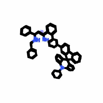 N/C(=C\C(NCc1ccccc1)c1ccccc1)c1ccccc1-c1cccc(-c2ccc3c(c2)C2(c4ccccc4-3)c3ccccc3N(c3ccccc3)c3ccccc32)c1